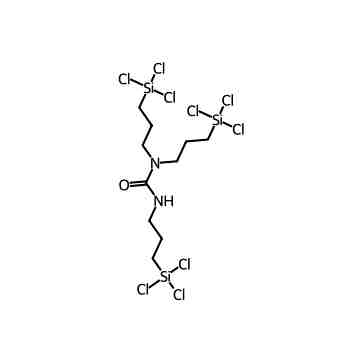 O=C(NCCC[Si](Cl)(Cl)Cl)N(CCC[Si](Cl)(Cl)Cl)CCC[Si](Cl)(Cl)Cl